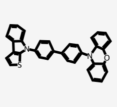 c1ccc2c(c1)Oc1ccccc1N2c1ccc(-c2ccc(-n3c4ccccc4c4ccsc43)cc2)cc1